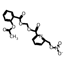 CC(=O)Oc1ccccc1C(=O)OCOC(=O)c1cccc(CO[N+](=O)[O-])n1